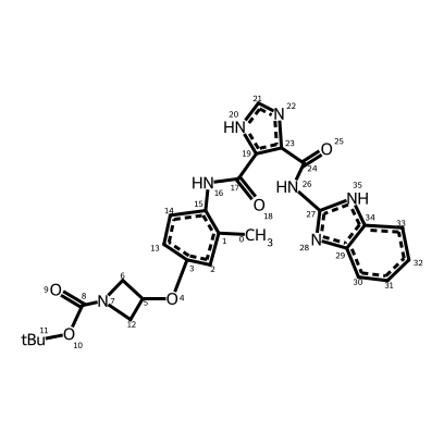 Cc1cc(OC2CN(C(=O)OC(C)(C)C)C2)ccc1NC(=O)c1[nH]cnc1C(=O)Nc1nc2ccccc2[nH]1